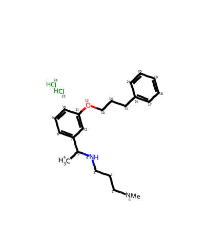 CNCCCNC(C)c1cccc(OCCCc2ccccc2)c1.Cl.Cl